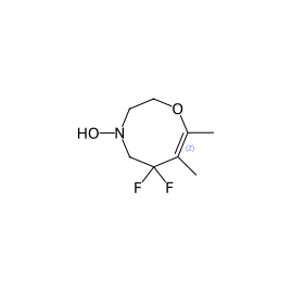 C/C1=C(\C)C(F)(F)CN(O)CCO1